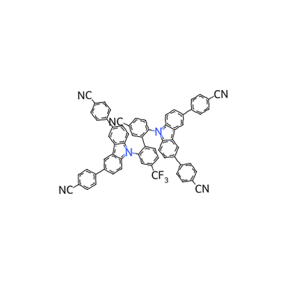 N#Cc1ccc(-c2ccc3c(c2)c2cc(-c4ccc(C#N)cc4)ccc2n3-c2ccc(C#N)cc2-c2ccc(C(F)(F)F)cc2-n2c3ccc(-c4ccc(C#N)cc4)cc3c3cc(-c4ccc(C#N)cc4)ccc32)cc1